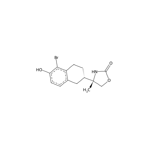 C[C@]1([C@H]2CCc3c(ccc(O)c3Br)C2)COC(=O)N1